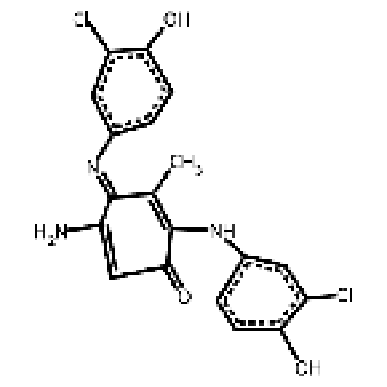 CC1=C(Nc2ccc(O)c(Cl)c2)C(=O)C=C(N)C1=Nc1ccc(O)c(Cl)c1